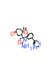 NC1=N[C@@]2(CO1)c1cc(-c3cncnc3)ccc1O[C@H]1CCC(=O)CC12